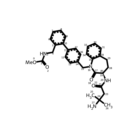 COC(=O)NCc1ccccc1-c1ccc(CN2C(=O)[C@H](NC(=O)CC(C)(C)N)CCc3ccccc32)cc1